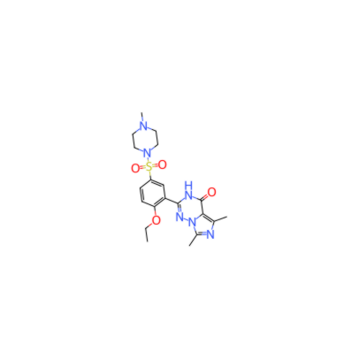 CCOc1ccc(S(=O)(=O)N2CCN(C)CC2)cc1-c1nn2c(C)nc(C)c2c(=O)[nH]1